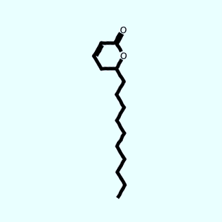 CCCCCCCCCCC1CC=CC(=O)O1